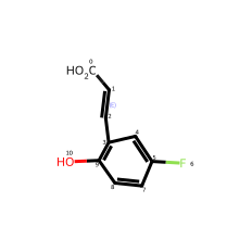 O=C(O)/C=C/c1cc(F)ccc1O